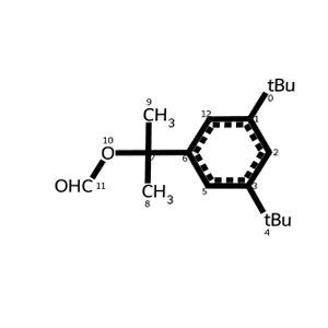 CC(C)(C)c1cc(C(C)(C)C)cc(C(C)(C)OC=O)c1